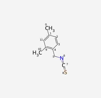 Cc1ccc(CN=C=S)c(C)c1